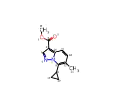 COC(=O)c1cnn2c(C3CC3)c(C)ccc12